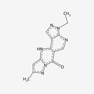 CCn1ncc2c3[nH]c4cc(C)nn4c(=O)c3cnc21